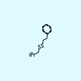 CC(C)CSSCCc1ccccc1